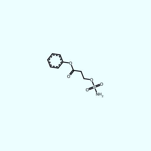 NS(=O)(=O)OCCC(=O)Oc1ccccc1